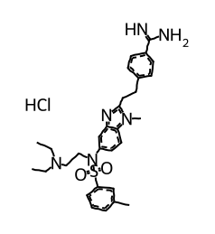 CCN(CC)CCN(c1ccc2c(c1)nc(CCc1ccc(C(=N)N)cc1)n2C)S(=O)(=O)c1cccc(C)c1.Cl